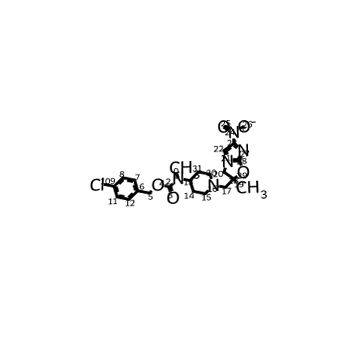 CN(C(=O)OCc1ccc(Cl)cc1)C1CCN(CC2(C)Cn3cc([N+](=O)[O-])nc3O2)CC1